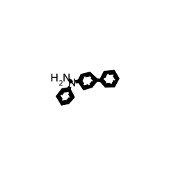 NN(c1ccccc1)c1ccc(-c2ccccc2)cc1